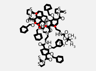 CC(C)(C)OC(=O)NCCCC[C@@H](CN(CCNC(=O)c1ccc(C(=O)N2CCSC2=S)c(OCc2ccccc2)c1OCc1ccccc1)C[C@H](CCCO)NC(=O)c1ccc(C(=O)N2CCSC2=S)c(OCc2ccccc2)c1OCc1ccccc1)NC(=O)c1ccc(C(=O)N2CCSC2=S)c(OCc2ccccc2)c1OCc1ccccc1